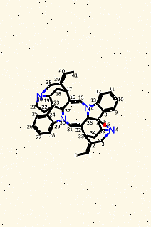 C/C=C1/CN2CCC34c5ccccc5N5/C=C6/C7CC8N(CCC89c8ccccc8N(/C=C(/C1CC23)C54)C69)C/C7=C/C